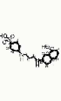 O=S(=O)(O)c1ccc(NCCCNc2ccc3cccc(O)c3c2)cc1